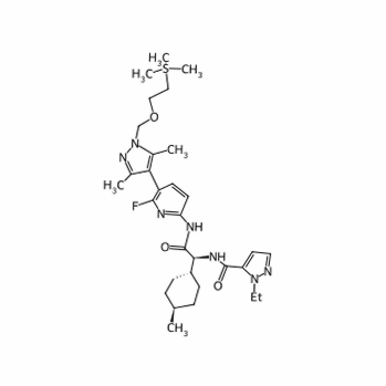 CCn1nccc1C(=O)N[C@H](C(=O)Nc1ccc(-c2c(C)nn(COCCS(C)(C)C)c2C)c(F)n1)[C@H]1CC[C@H](C)CC1